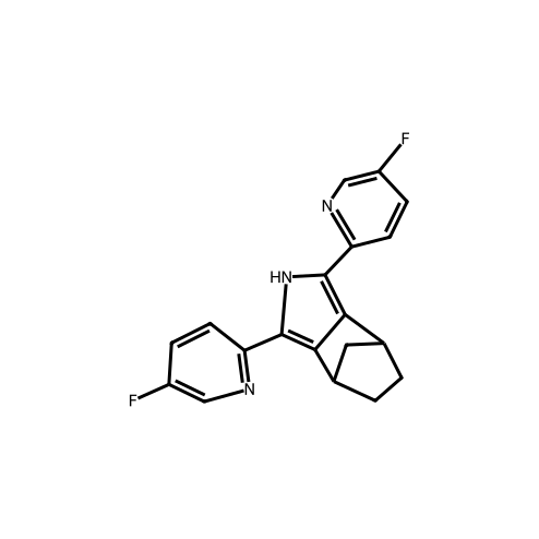 Fc1ccc(-c2[nH]c(-c3ccc(F)cn3)c3c2C2CCC3C2)nc1